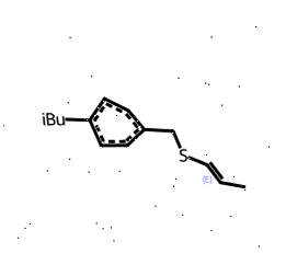 C/C=C/SCc1ccc(C(C)CC)cc1